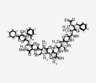 CCC(=O)N(C)[C@@H](Cc1ccccc1)C(=O)N(C)[C@H](C(=O)N[C@H](C(=O)N(C)[C@@H](CC(C)C)C(=O)N[C@H](C(=O)N(C)[C@@H](C)C(=O)N(C)[C@@H](CC(C)C)C(=O)N[C@@H](C(=O)NC)C(=O)N(C)[C@@H](Cc1ccccc1)C(=O)N[C@@H](C)C(=O)N1CCCCC1)C(C)O)C(C)C)C(C)C